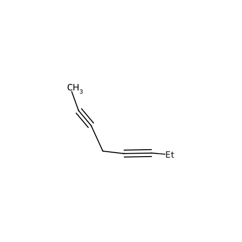 CC#CCC#CCC